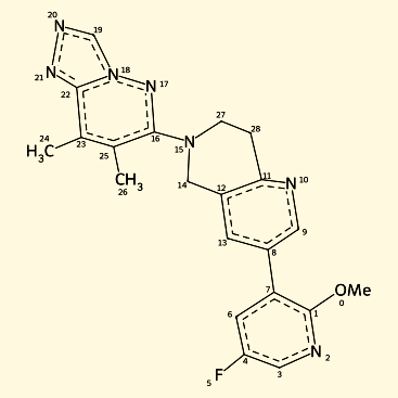 COc1ncc(F)cc1-c1cnc2c(c1)CN(c1nn3cnnc3c(C)c1C)CC2